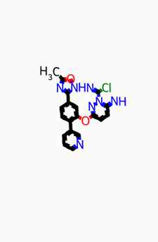 Cc1nc(-c2ccc(-c3cccnc3)c(Oc3ccc(=N)n(C(=N)Cl)n3)c2)no1